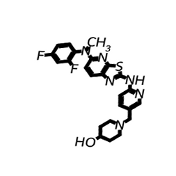 CN(c1ccc2nc(Nc3ccc(CN4CCC(O)CC4)cn3)sc2n1)c1ccc(F)cc1F